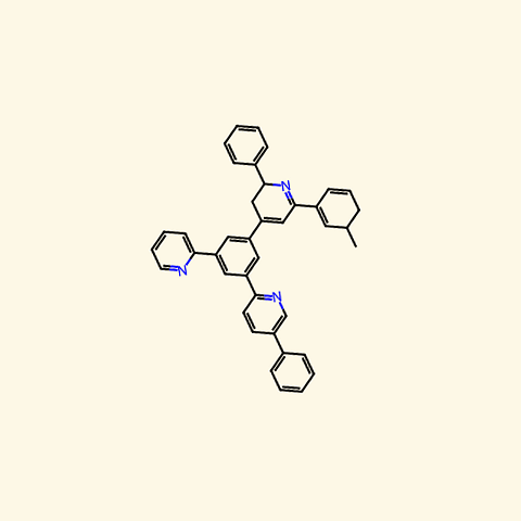 CC1C=C(C2=NC(c3ccccc3)CC(c3cc(-c4ccccn4)cc(-c4ccc(-c5ccccc5)cn4)c3)=C2)C=CC1